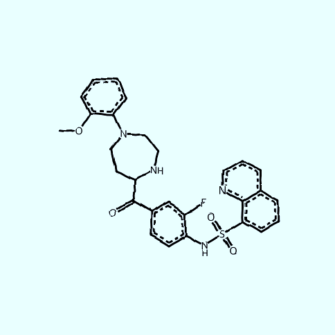 COc1ccccc1N1CCNC(C(=O)c2ccc(NS(=O)(=O)c3cccc4cccnc34)c(F)c2)CC1